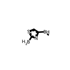 Bc1nc(BC)cs1